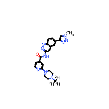 [2H]C([2H])([2H])N1CCN(c2cc(C(=O)Nc3cc4cc(-c5cn(C)nn5)ccc4nn3)ccn2)CC1